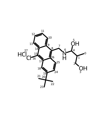 CC(CO)C(O)NCc1c2ccccc2c(Cl)c2cc(C(C)(C)C)ccc12.Cl